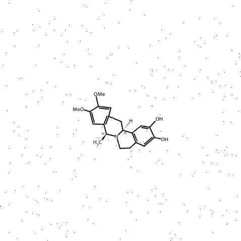 COc1cc2c(cc1OC)[C@H](C)N1CCc3cc(O)c(O)cc3[C@@H]1C2